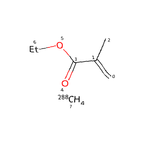 C=C(C)C(=O)OCC.[288CH4]